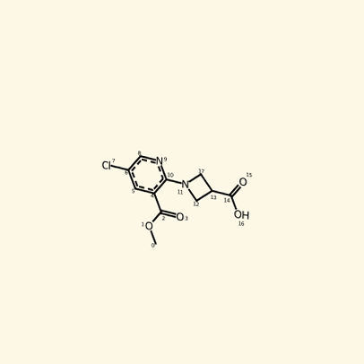 COC(=O)c1cc(Cl)cnc1N1CC(C(=O)O)C1